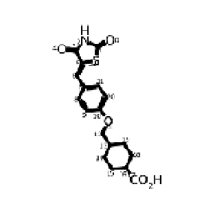 O=C1NC(=O)C(=Cc2ccc(OCC3CCC(C(=O)O)CC3)cc2)S1